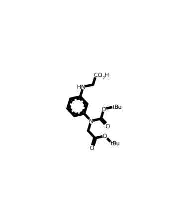 CC(C)(C)OC(=O)CN(C(=O)OC(C)(C)C)c1cccc(NCC(=O)O)c1